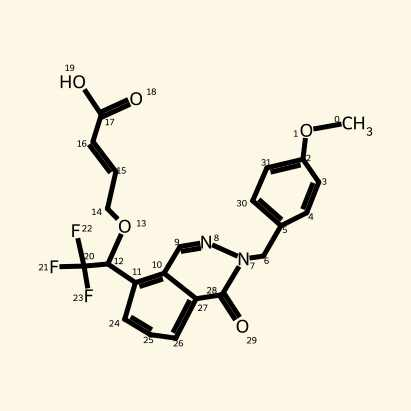 COc1ccc(Cn2ncc3c(C(OC/C=C/C(=O)O)C(F)(F)F)cccc3c2=O)cc1